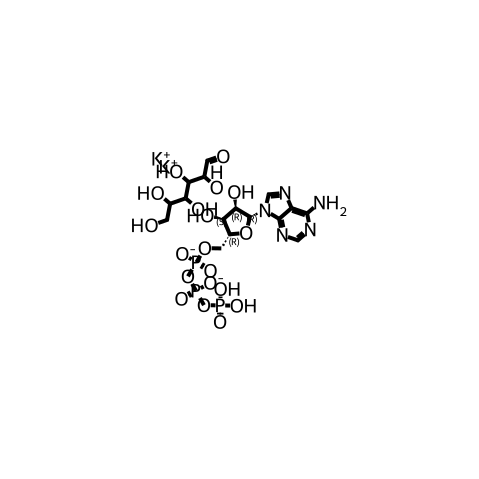 Nc1ncnc2c1ncn2[C@@H]1O[C@H](COP(=O)([O-])OP(=O)([O-])OP(=O)(O)O)[C@@H](O)[C@H]1O.O=CC(O)C(O)C(O)C(O)CO.[K+].[K+]